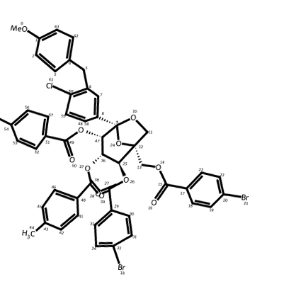 COc1ccc(Cc2cc([C@]34OC[C@](COC(=O)c5ccc(Br)cc5)(O3)[C@@H](OC(=O)c3ccc(Br)cc3)[C@H](OC(=O)c3ccc(C)cc3)[C@@H]4OC(=O)c3ccc(Br)cc3)ccc2Cl)cc1